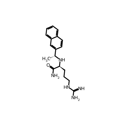 C[C@@H](N[C@@H](CCCNC(=N)N)C(N)=O)c1ccc2ccccc2c1